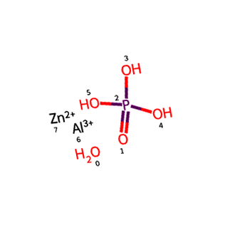 O.O=P(O)(O)O.[Al+3].[Zn+2]